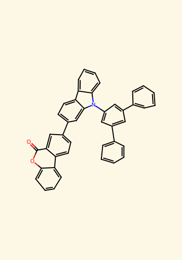 O=c1oc2ccccc2c2ccc(-c3ccc4c5ccccc5n(-c5cc(-c6ccccc6)cc(-c6ccccc6)c5)c4c3)cc12